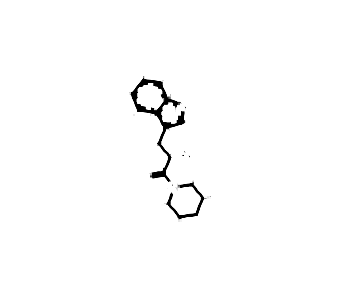 N[C@@H](Cc1c[nH]c2ccccc12)C(=O)N1CCCCC1